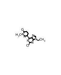 CCn1cnc2c(-c3ccc(=O)n(C)n3)nc(Cl)nc21